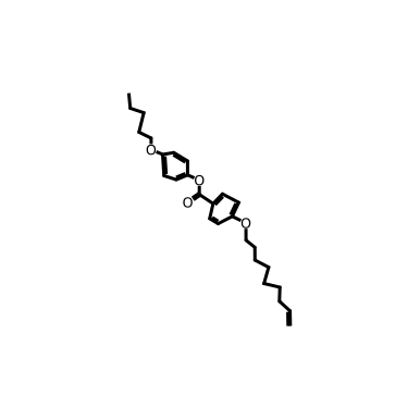 C=CCCCCCCCOc1ccc(C(=O)Oc2ccc(OCCCCC)cc2)cc1